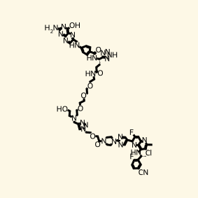 Cc1nc2cc(F)c(-c3cnc(N4CCN(C(=O)COCCn5cc(CN(CCO)CCOCCOCCOCCNC(=O)CC[C@H](NC(=O)c6ccc(NCc7cnc8nc(N)nc(O)c8n7)cc6)c6nn[nH]n6)nn5)CC4)nc3)nc2c(N[C@H](C)c2cc(C#N)ccc2F)c1Cl